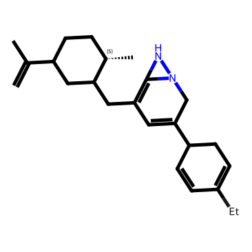 C=C(C)C1CC[C@H](C)C(CC2=C3NN3CC(C3C=CC(CC)=CC3)=C2)C1